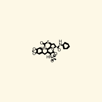 CC(=O)Nc1c(Cc2ccc3c(c2)OCO3)c(NS(C)(=O)=O)c(=O)n2c1C(=S)C[C@@H]2C(=O)Nc1ccccc1